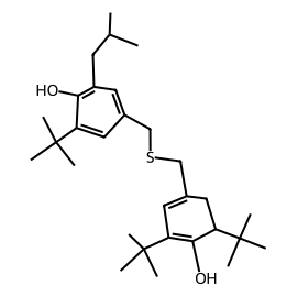 CC(C)Cc1cc(CSCC2=CC(C(C)(C)C)=C(O)C(C(C)(C)C)C2)cc(C(C)(C)C)c1O